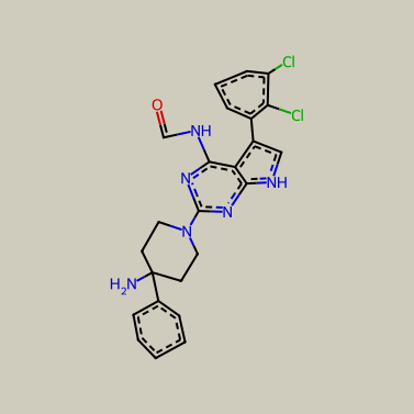 NC1(c2ccccc2)CCN(c2nc(NC=O)c3c(-c4cccc(Cl)c4Cl)c[nH]c3n2)CC1